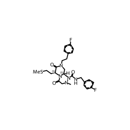 CSCC[C@H]1C(=O)N(CCc2ccc(F)cc2)C[C@H]2N1C(=O)CN(C)N2C(=O)NCc1ccc(F)cc1